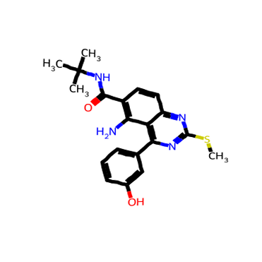 CSc1nc(-c2cccc(O)c2)c2c(N)c(C(=O)NC(C)(C)C)ccc2n1